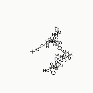 CC[C@@H](C)C(C(CC(=O)N1CCC[C@@H]1[C@@H](OC)[C@H](C)C(=O)N[C@@H](C)C(O)c1ccccc1)OC)N(C)C(=O)[C@H](NC(=O)[C@@H](C(C)C)N(C)C(=O)OCc1ccc(NC(=O)[C@@H](CCCNC(N)=O)NC(=O)[C@H](NC(=O)NCCOCCOCCC(C)(C)C)C(C)C)cc1)C(C)C